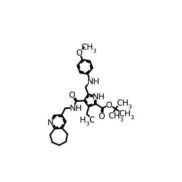 CCc1c(C(=O)OC(C)(C)C)[nH]c(CNc2ccc(OC)cc2)c1C(=O)NCc1cnc2c(c1)CCCCC2